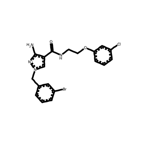 Nc1nn(Cc2cccc(Br)c2)cc1C(=O)NCCOc1cccc(Cl)c1